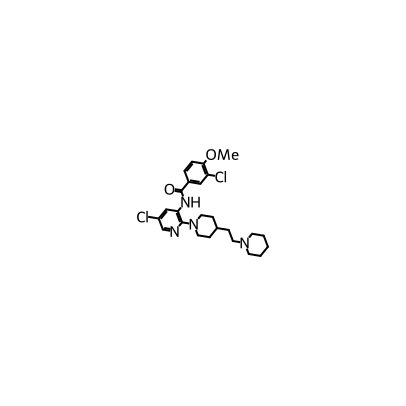 COc1ccc(C(=O)Nc2cc(Cl)cnc2N2CCC(CCN3CCCCC3)CC2)cc1Cl